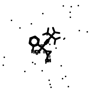 CC(C)[Si](C#C[C@@](N)(c1ccccc1F)[C@H]1C[C@H]1O)(C(C)C)C(C)C